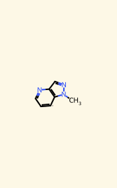 Cn1ncc2ncc[c]c21